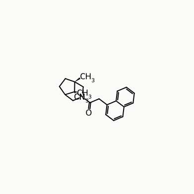 CC1(C)C2CC[C@]1(C)CN(C(=O)Cc1cccc3ccccc13)C2